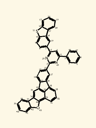 c1ccc(-c2cc(-c3ccc4sc5ccccc5c4c3)nc(-c3ccc4c(c3)-c3cccc5c3c-4cc3c4ccccc4oc53)n2)cc1